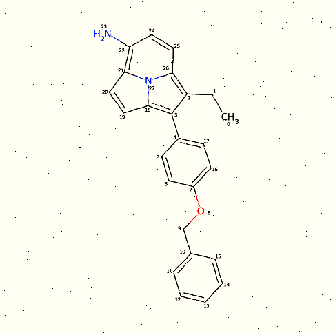 CCc1c(-c2ccc(OCc3ccccc3)cc2)c2ccc3c(N)ccc1n32